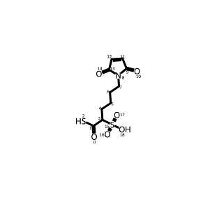 O=C(S)C(CCCCN1C(=O)C=CC1=O)S(=O)(=O)O